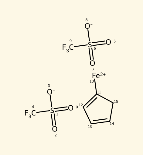 O=S(=O)([O-])C(F)(F)F.O=S(=O)([O-])C(F)(F)F.[Fe+2][C]1=CC=CC1